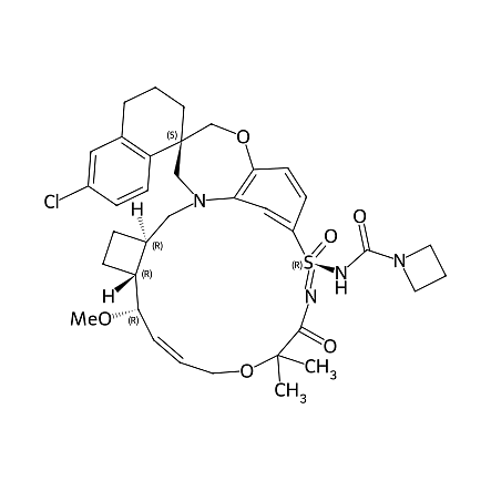 CO[C@H]1C=CCOC(C)(C)C(=O)N=[S@](=O)(NC(=O)N2CCC2)c2ccc3c(c2)N(C[C@@H]2CC[C@H]21)C[C@@]1(CCCc2cc(Cl)ccc21)CO3